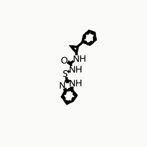 O=C(NSc1nc2ccccc2[nH]1)NC1CC1c1ccccc1